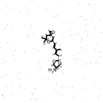 CC(/C=C/[C@@H]1C[C@]2(CO2)CC(C)(C)O1)=C\C[C@H]1OC[C@@H](N)CO1